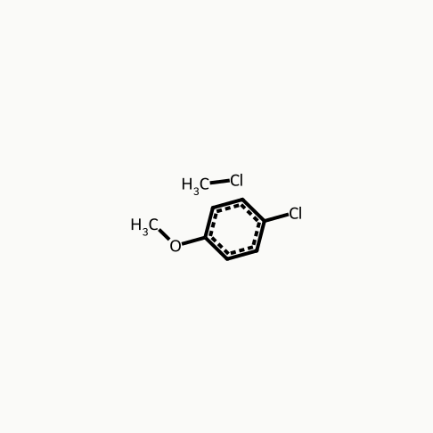 CCl.COc1ccc(Cl)cc1